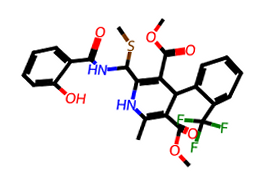 COC(=O)C1=C(C)NC(C(NC(=O)c2ccccc2O)SC)=C(C(=O)OC)C1c1ccccc1C(F)(F)F